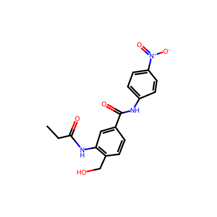 CCC(=O)Nc1cc(C(=O)Nc2ccc([N+](=O)[O-])cc2)ccc1CO